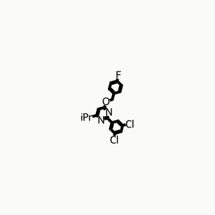 CC(C)c1cc(OCc2ccc(F)cc2)nc(-c2cc(Cl)cc(Cl)c2)n1